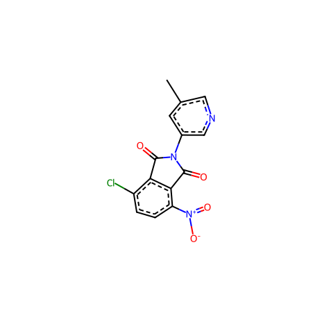 Cc1cncc(N2C(=O)c3c(Cl)ccc([N+](=O)[O-])c3C2=O)c1